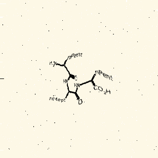 CCCCCCCC(NC(=O)C(N)CCCCC)C(=O)NC(CCCCC)C(=O)O